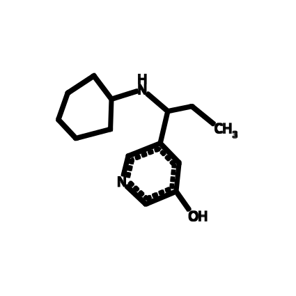 CCC(NC1CCCCC1)c1cncc(O)c1